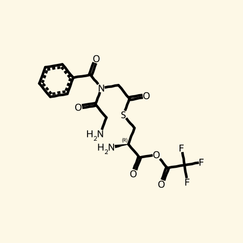 NCC(=O)N(CC(=O)SC[C@H](N)C(=O)OC(=O)C(F)(F)F)C(=O)c1ccccc1